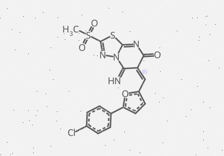 CS(=O)(=O)C1=NN2C(=N)/C(=C\c3ccc(-c4ccc(Cl)cc4)o3)C(=O)N=C2S1